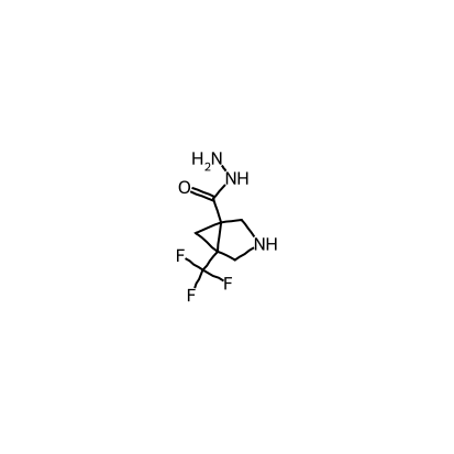 NNC(=O)C12CNCC1(C(F)(F)F)C2